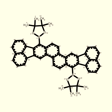 CC1(C)OB(c2c3c(cc4c2ccc2c5cc6c(c(B7OC(C)(C)C(C)(C)O7)c5ccc42)-c2cccc4cccc-6c24)-c2cccc4cccc-3c24)OC1(C)C